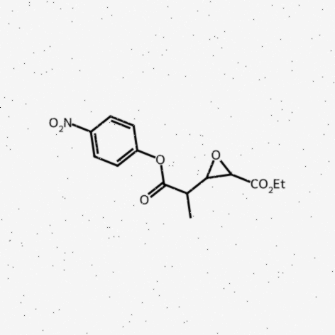 CCOC(=O)C1OC1C(C)C(=O)Oc1ccc([N+](=O)[O-])cc1